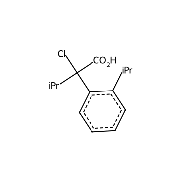 CC(C)c1ccccc1C(Cl)(C(=O)O)C(C)C